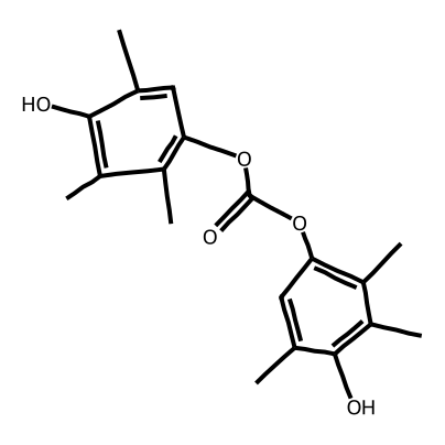 Cc1cc(OC(=O)Oc2cc(C)c(O)c(C)c2C)c(C)c(C)c1O